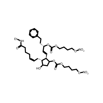 CCNC(=O)CCC/C=C\C[C@H]1C(O)CC(OC(=O)OCCCCO[N+](=O)[O-])[C@@H]1/C=C/[C@H](CCc1ccccc1)OC(=O)OCCCCO[N+](=O)[O-]